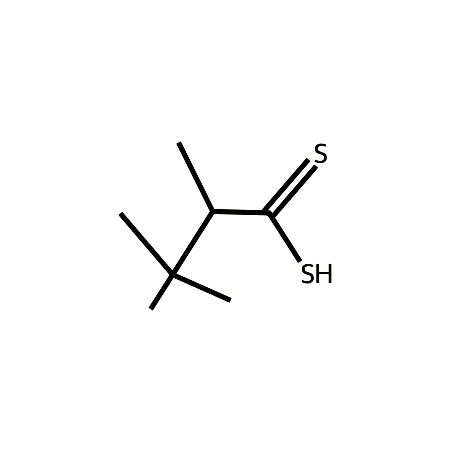 CC(C(=S)S)C(C)(C)C